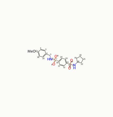 COc1ccc(CNS(=O)(=O)c2ccc(S(=O)(=O)NC3CCCC3)cc2)cc1